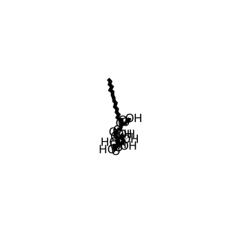 CCCCCCCCCCCCCCCC(=O)O[C@H](COCO)COP(=O)(O)OC1C(O)[C@H](O)[C@H](O)C(OP(=O)(O)O)[C@@H]1O